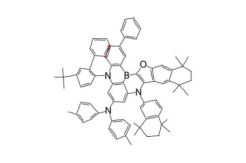 Cc1ccc(N(c2ccc(C)cc2)c2cc3c4c(c2)N(c2ccc5c(c2)C(C)(C)CCC5(C)C)c2c(oc5cc6c(cc25)C(C)(C)CCC6(C)C)B4c2cc(-c4ccccc4)ccc2N3c2ccc(C(C)(C)C)cc2-c2ccccc2)cc1